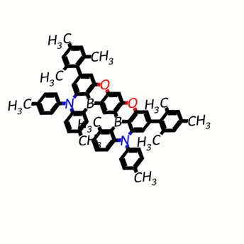 Cc1ccc(N2c3ccc(C)cc3B3c4cc5c(cc4Oc4cc(-c6c(C)cc(C)cc6C)cc2c43)Oc2cc(-c3c(C)cc(C)cc3C)cc3c2B5c2c(C)cccc2N3c2ccc(C)cc2)cc1